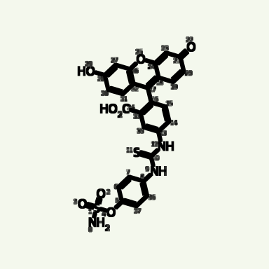 NS(=O)(=O)Oc1ccc(NC(=S)Nc2ccc(-c3c4ccc(=O)cc-4oc4cc(O)ccc34)c(C(=O)O)c2)cc1